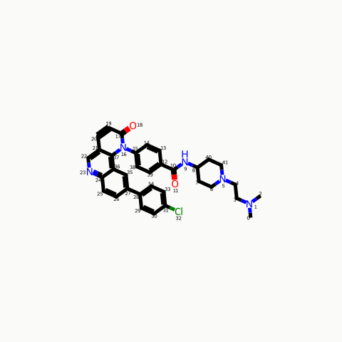 CN(C)CCN1CCC(NC(=O)c2ccc(-n3c(=O)c#cc4cnc5ccc(-c6ccc(Cl)cc6)cc5c43)cc2)CC1